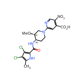 CO[C@H]1CN(c2cc(C(=O)O)c([N+](=O)[O-])cn2)CC[C@H]1NC(=O)c1[nH]c(C)c(Cl)c1Cl